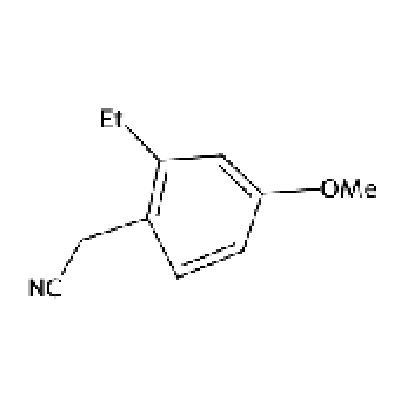 CCc1cc(OC)ccc1CC#N